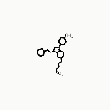 CC1CCC(N2CC(CCC3CCCCC3)C3CC(CCCC[N+](=O)[O-])CCC32)CC1